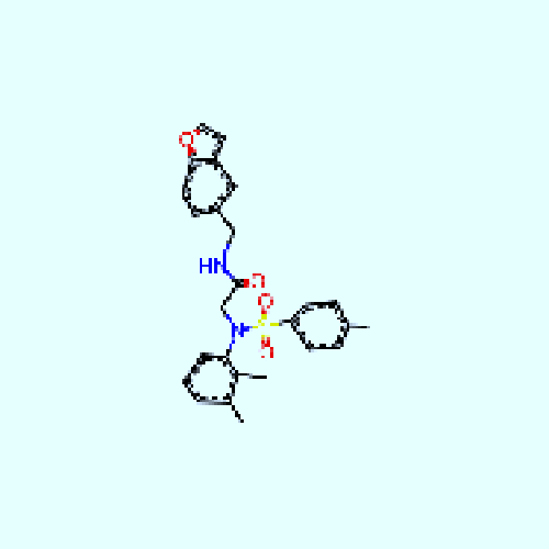 Cc1ccc(S(=O)(=O)N(CC(=O)NCc2ccc3occc3c2)c2cccc(C)c2C)cc1